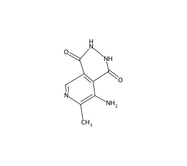 Cc1ncc2c(=O)[nH][nH]c(=O)c2c1N